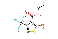 CCOC(=O)c1c(C(F)(F)F)csc1Br